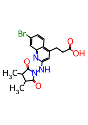 CC1C(=O)N(Nc2cc(CCC(=O)O)c3ccc(Br)cc3n2)C(=O)C1C